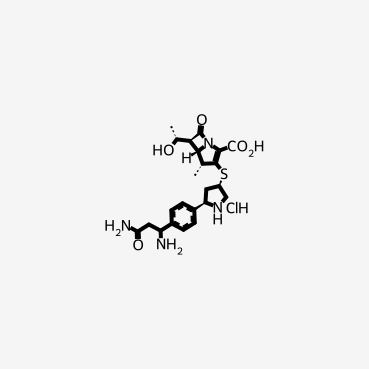 C[C@@H](O)[C@H]1C(=O)N2C(C(=O)O)=C(S[C@@H]3CN[C@@H](c4ccc(C(N)CC(N)=O)cc4)C3)[C@H](C)[C@H]12.Cl